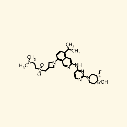 CC(C)c1ccc(N2CC(CS(=O)(=O)CCN(C)C)C2)c2cnc(Nc3ccnc(N4CC[C@@H](O)[C@@H](F)C4)n3)cc12